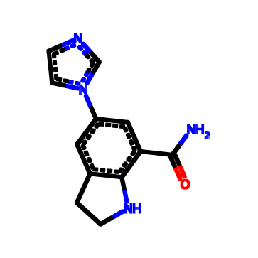 NC(=O)c1cc(-n2ccnc2)cc2c1NCC2